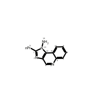 CCCc1nc2cnc3ccccc3c2n1N